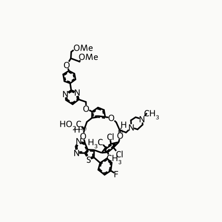 COCC(COC)Oc1ccc(-c2nccc(COc3ccc4cc3C[C@H](C(=O)O)Oc3ncnc5sc(-c6ccc(F)cc6)c(c35)-c3c(C)c(Cl)c(c(Cl)c3C)O[C@H](CN3CCN(C)CC3)CO4)n2)cc1